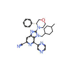 CC1CCC(Cn2c(N3CCOC[C@H]3c3ccccc3)nc3cc(C#N)nc(-c4cnccn4)c32)CC1